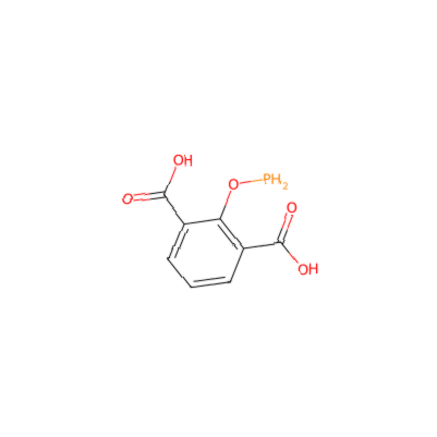 O=C(O)c1cccc(C(=O)O)c1OP